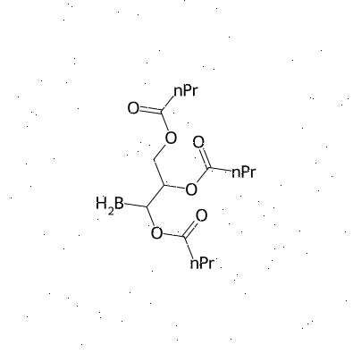 BC(OC(=O)CCC)C(COC(=O)CCC)OC(=O)CCC